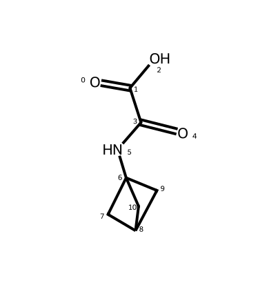 O=C(O)C(=O)NC12CC(C1)C2